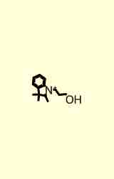 CC1=[N+](CCCO)c2ccccc2C1(C)C